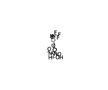 CC(=O)Nc1c(C(C)(C)C)n(C(=O)O)c2ccc(OCC3Cc4cnn(C(F)C(F)F)c4C3)cc12